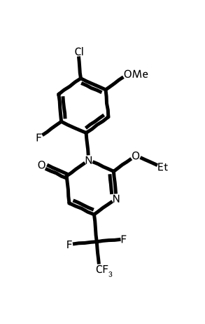 CCOc1nc(C(F)(F)C(F)(F)F)cc(=O)n1-c1cc(OC)c(Cl)cc1F